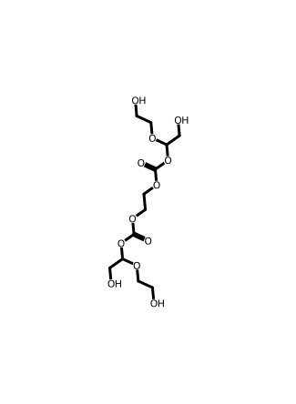 O=C(OCCOC(=O)OC(CO)OCCO)OC(CO)OCCO